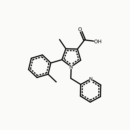 Cc1ccccc1-c1c(C)c(C(=O)O)cn1Cc1ccccn1